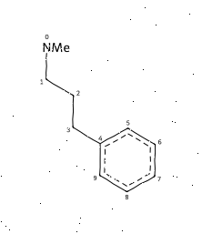 [CH2]NCCCc1ccccc1